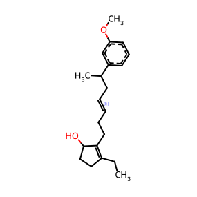 CCC1=C(CC/C=C/CC(C)c2cccc(OC)c2)C(O)CC1